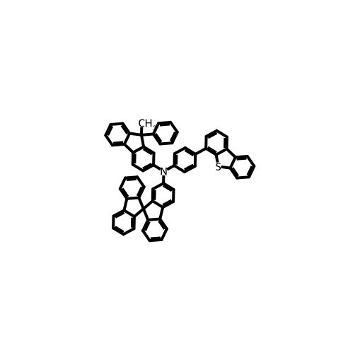 CC1(c2ccccc2)c2ccccc2-c2ccc(N(c3ccc(-c4cccc5c4sc4ccccc45)cc3)c3ccc4c(c3)C3(c5ccccc5-c5ccccc53)c3ccccc3-4)cc21